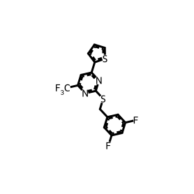 Fc1cc(F)cc(CSc2nc(-c3cccs3)cc(C(F)(F)F)n2)c1